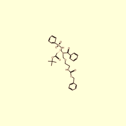 CC(C)(C)OC(=O)C[C@H](NS(=O)(=O)c1ccccc1)N(COCCNC(=O)OCc1ccccc1)C(=O)c1ccccc1